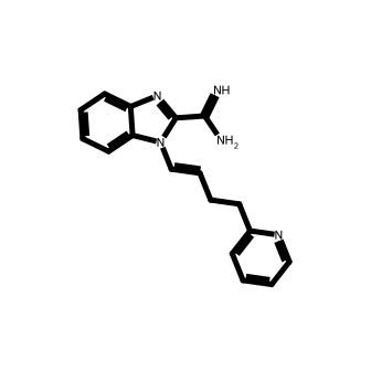 N=C(N)c1nc2ccccc2n1/C=C/CCc1ccccn1